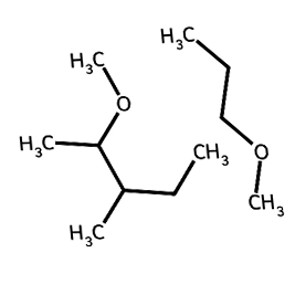 CCC(C)C(C)OC.CCCOC